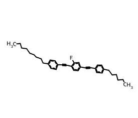 CCCCCCCCCc1ccc(C#Cc2ccc(C#Cc3ccc(CCCCCC)cc3)cc2F)cc1